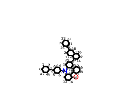 c1ccc(-c2ccc(N(c3ccc(-c4cccc5cc(-c6ccccc6)ccc45)cc3)c3cccc4oc5ccccc5c34)cc2)cc1